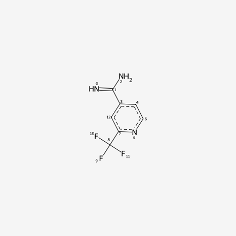 N=C(N)c1ccnc(C(F)(F)F)c1